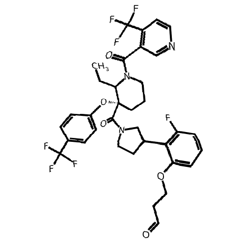 CCC1N(C(=O)c2cnccc2C(F)(F)F)CCC[C@@]1(Oc1ccc(C(F)(F)F)cc1)C(=O)N1CCC(c2c(F)cccc2OCCC=O)C1